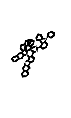 c1ccc(-n2c3ccccc3c3c(-c4nc(-c5ccc6c(oc7cc8ccccc8cc76)c5-n5c6cc7ccccc7cc6c6cc7ccccc7cc65)nc(-c5cccc6ccccc56)n4)cccc32)cc1